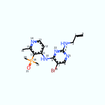 C=CCNc1ncc(Br)c(Nc2ccnc(C)c2P(C)(C)=O)n1